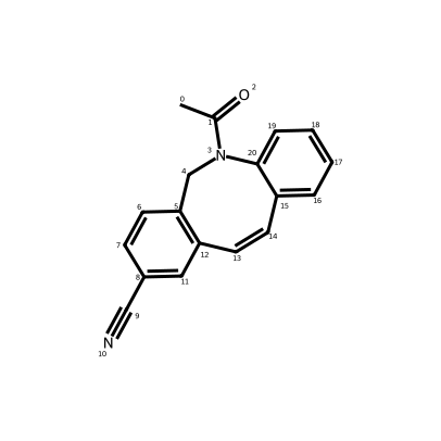 CC(=O)N1Cc2ccc(C#N)cc2/C=C\c2ccccc21